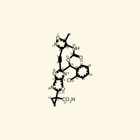 Cc1onc(C#Cc2nc3oc(C4(C(=O)O)CC4)nc3o2)c1NC(=O)OC(C)c1ccccc1Cl